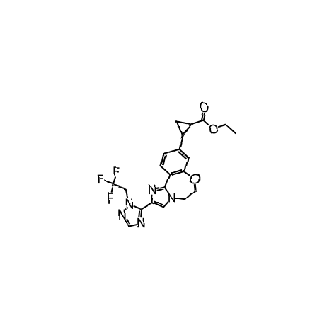 CCOC(=O)C1CC1c1ccc2c(c1)OCCn1cc(-c3ncnn3CC(F)(F)F)nc1-2